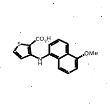 COc1cccc2c(Nc3ccsc3C(=O)O)cccc12